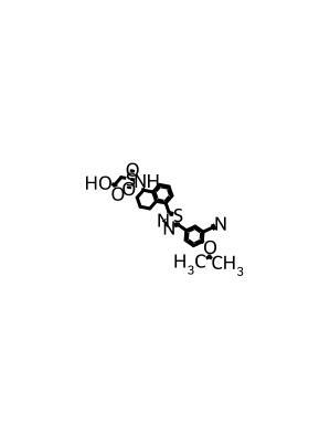 CC(C)Oc1ccc(-c2nnc(-c3cccc4c3CCCC4NS(=O)(=O)CC(=O)O)s2)cc1C#N